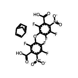 C1=CC2=CC=C1C2.O=C(O)c1c(F)c(Oc2c(F)c(F)c([N+](=O)[O-])c(C(=O)O)c2F)c(F)c(F)c1[N+](=O)[O-]